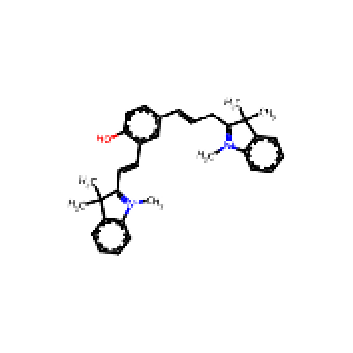 C[N+]1=C(/C=C/c2cc(C=CCC3=[N+](C)c4ccccc4C3(C)C)ccc2O)C(C)(C)c2ccccc21